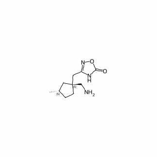 C[C@H]1CC[C@@](CN)(Cc2noc(=O)[nH]2)C1